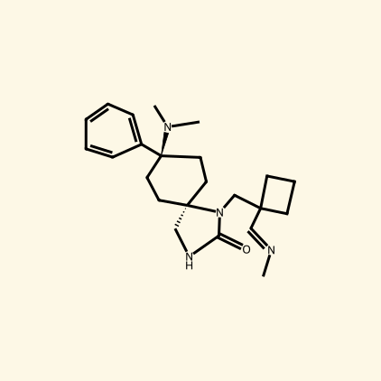 CN=CC1(CN2C(=O)NC[C@]23CC[C@](c2ccccc2)(N(C)C)CC3)CCC1